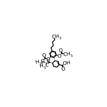 CCCCCc1cc(OC(C)=O)c([C@@H]2C=C(C(=O)O)CC[C@H]2C(C)C)c(OC(C)=O)c1